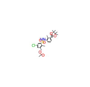 CC(=O)OCc1cc(Cl)cc(S(=O)(=O)Nc2cccc(B3OC(C)(C)C(C)(C)O3)c2C)c1C